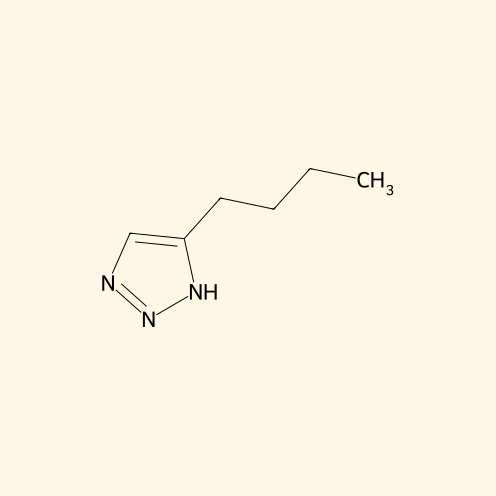 CCCCc1cnn[nH]1